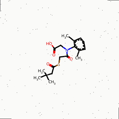 Cc1cccc(C)c1N(CC(=O)O)C(=O)CSC(=O)CC(C)(C)C